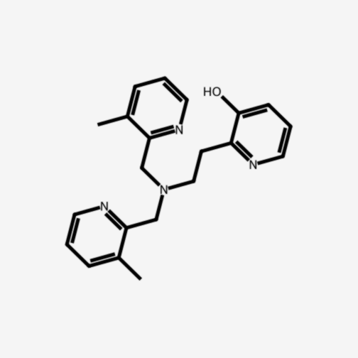 Cc1cccnc1CN(CCc1ncccc1O)Cc1ncccc1C